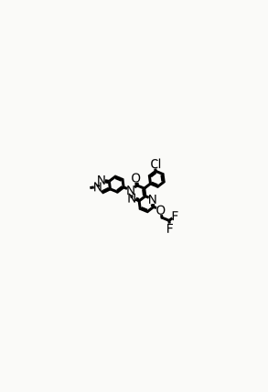 Cn1cc2cc(-n3nc4ccc(OCC(F)F)nc4c(-c4cccc(Cl)c4)c3=O)ccc2n1